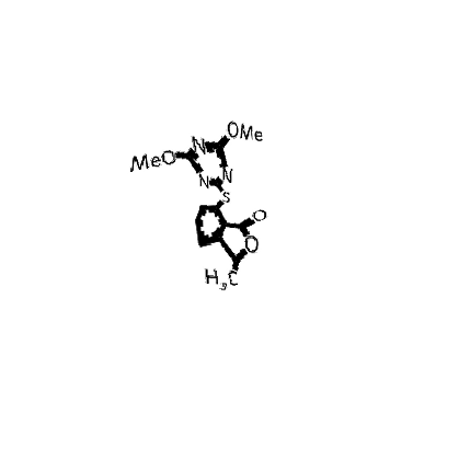 COc1nc(OC)nc(Sc2cccc3c2C(=O)OC3C)n1